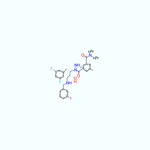 CCCN(CCC)C(=O)c1cc(C)cc(C(=O)N(N)[C@@H](Cc2cc(F)cc(F)c2)[C@H](O)CNCc2cccc(I)c2)c1